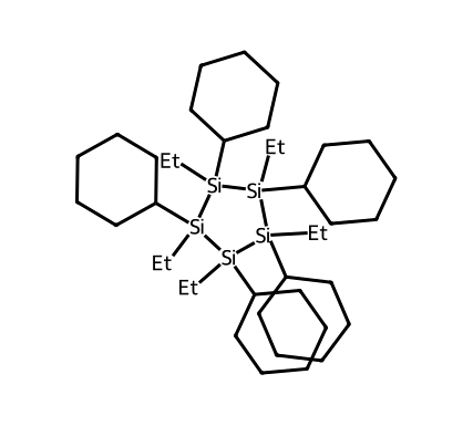 CC[Si]1(C2CCCCC2)[Si](CC)(C2CCCCC2)[Si](CC)(C2CCCCC2)[Si](CC)(C2CCCCC2)[Si]1(CC)C1CCCCC1